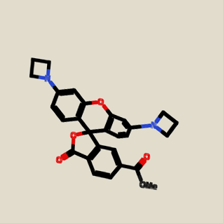 COC(=O)c1ccc2c(c1)C1(OC2=O)c2ccc(N3CCC3)cc2Oc2cc(N3CCC3)ccc21